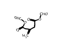 C=C(CC(=O)OC=O)C(=O)OC=O